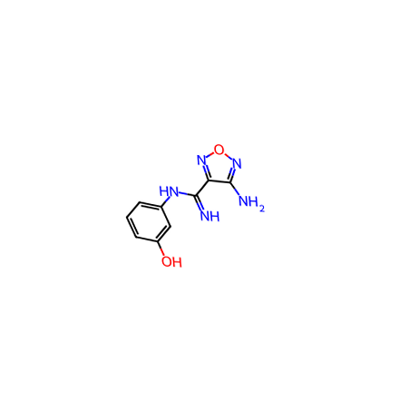 N=C(Nc1cccc(O)c1)c1nonc1N